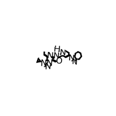 C=C/C(=N\C(=C/C)c1nncn1C1CC1)NC(=O)c1cc(-n2cnc3c2CCCCC3)ccn1